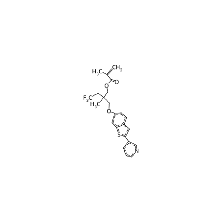 C=C(C)C(=O)OCC(C)(COc1ccc2cc(-c3cccnc3)sc2c1)CC(F)(F)F